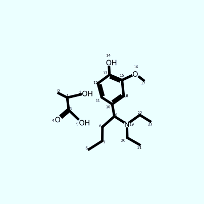 CC(O)C(=O)O.CCCC(c1ccc(O)c(OC)c1)N(CC)CC